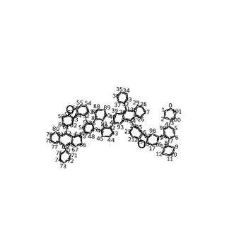 c1ccc(-c2ccc(-c3ccccc3)c(-c3ccc4oc5ccc(-c6c7ccccc7c(-c7ccccc7)c7ccc(-c8cccc(-c9cccc(-c%10cccc%11oc%12ccc(-c%13c%14ccccc%14c(-c%14ccccc%14)c%14ccccc%13%14)cc%12c%10%11)c9-c9ccccc9)c8)cc67)cc5c4c3)c2)cc1